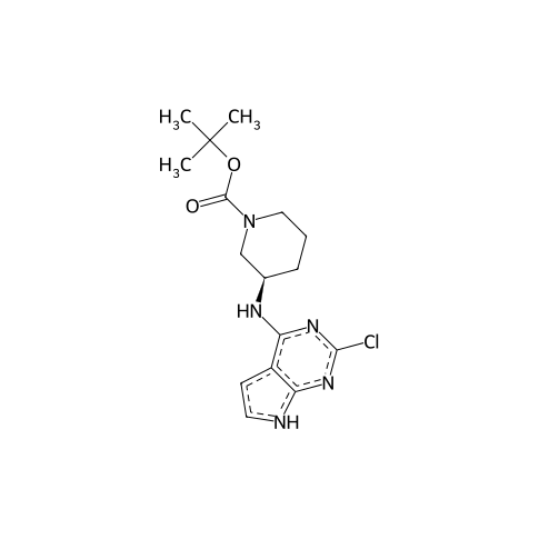 CC(C)(C)OC(=O)N1CCC[C@@H](Nc2nc(Cl)nc3[nH]ccc23)C1